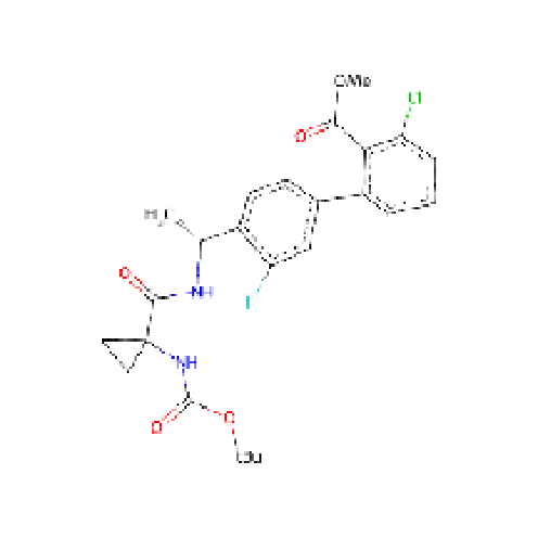 COC(=O)c1c(Cl)cccc1-c1ccc([C@@H](C)NC(=O)C2(NC(=O)OC(C)(C)C)CC2)c(F)c1